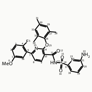 COc1ccc(F)c(-c2ccc(C(=O)NS(=O)(=O)c3cccc(N)n3)c(Oc3c(C)cc(C)cc3C)n2)c1